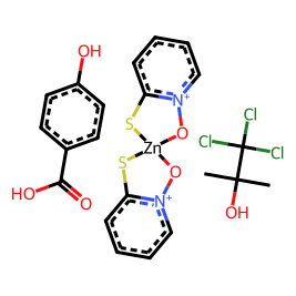 CC(C)(O)C(Cl)(Cl)Cl.O=C(O)c1ccc(O)cc1.c1cc[n+]2c(c1)[S][Zn]1([O]2)[O][n+]2ccccc2[S]1